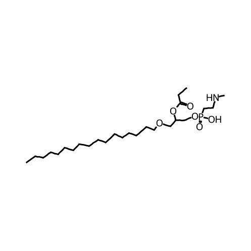 CCCCCCCCCCCCCCCCCOCC(COP(=O)(O)CCNC)OC(=O)CC